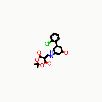 CC1(C)OC(=O)C(=CNC2=CC(=O)CC(c3ccccc3Cl)C2)C(=O)O1